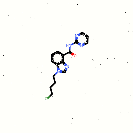 O=C(Nc1ncccn1)c1cccc2c1ncn2CCCCCl